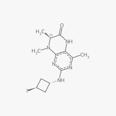 Cc1nc(N[C@H]2C[C@H](I)C2)nc2c1NC(=O)[C@H](C)N2C